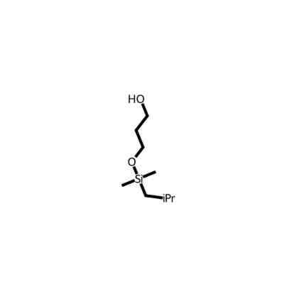 CC(C)C[Si](C)(C)OCCCO